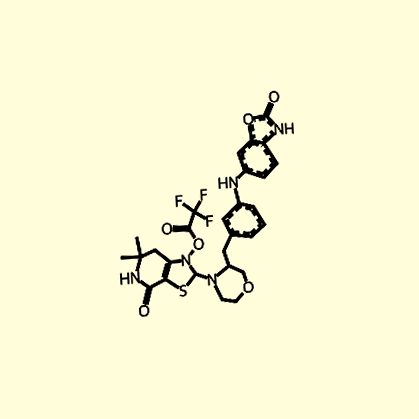 CC1(C)CC2=C(SC(N3CCOCC3Cc3cccc(Nc4ccc5[nH]c(=O)oc5c4)c3)N2OC(=O)C(F)(F)F)C(=O)N1